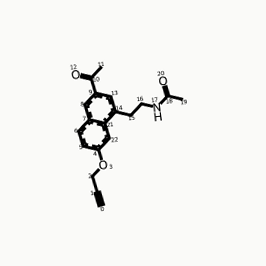 C#CCOc1ccc2cc(C(C)=O)cc(CCNC(C)=O)c2c1